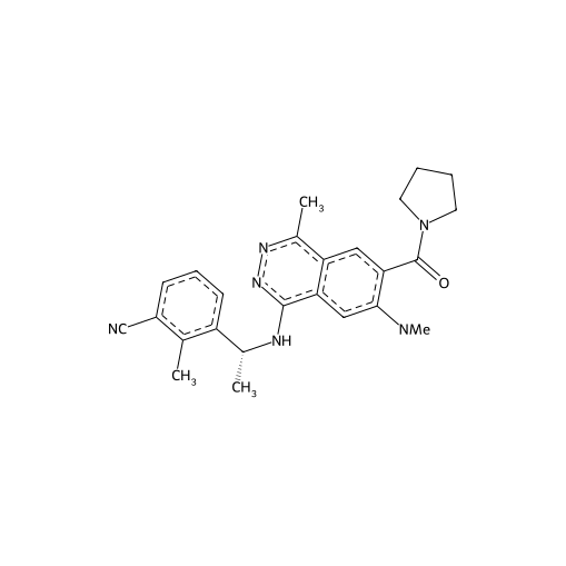 CNc1cc2c(N[C@H](C)c3cccc(C#N)c3C)nnc(C)c2cc1C(=O)N1CCCC1